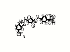 O=c1cc(CN2Cc3ccc(C(F)(F)F)cc3C2)occ1OCc1ccc(C2(O)COC2)cc1